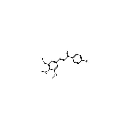 COc1cc(C=CC(=O)c2ccc(F)cc2)cc(OC)c1OC